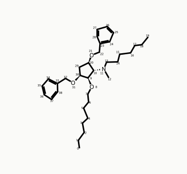 CCCCCCCCO[C@@H]1[C@@H](N(C)CCCCCCC)[C@H](OCc2ccccc2)C[C@@H]1OCc1ccccc1